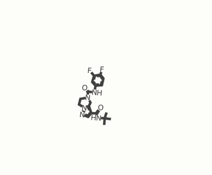 CC(C)(C)NC(=O)c1cnn2c1CN(C(=O)Nc1ccc(F)c(F)c1)CC2